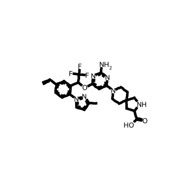 C=Cc1ccc(-n2ccc(C)n2)c(C(Oc2cc(N3CCC4(CC3)CNC(C(=O)O)C4)nc(N)n2)C(F)(F)F)c1